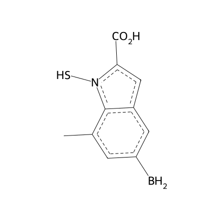 Bc1cc(C)c2c(c1)cc(C(=O)O)n2S